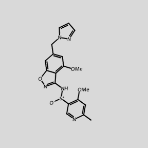 COc1cc(C)ncc1[S+]([O-])Nc1noc2cc(Cn3cccn3)cc(OC)c12